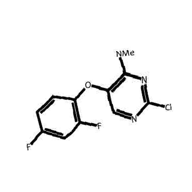 CNc1nc(Cl)ncc1Oc1[c]cc(F)cc1F